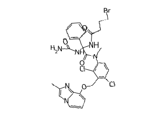 Cc1cn2cccc(OCc3c(Cl)ccc(N(C)C(=O)C(NC(N)=O)(NC(=O)CCCBr)c4ccccc4)c3Cl)c2n1